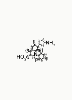 NC1CCC(c2c(F)cc3c(=O)c(C(=O)O)cn(-c4ccc(F)cc4F)c3c2Cl)C1